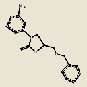 Nc1cc(N2CC(COCc3ccccc3)OC2=O)ccn1